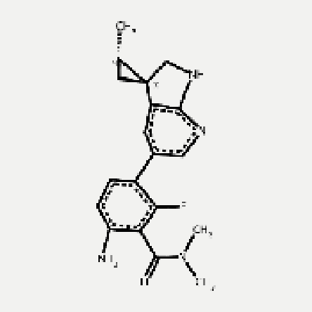 C[C@H]1C[C@]12CNc1ncc(-c3ccc(N)c(C(=O)N(C)C)c3F)cc12